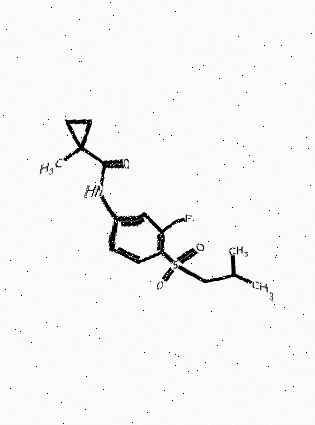 CC(C)CS(=O)(=O)c1ccc(NC(=O)C2(C)CC2)cc1F